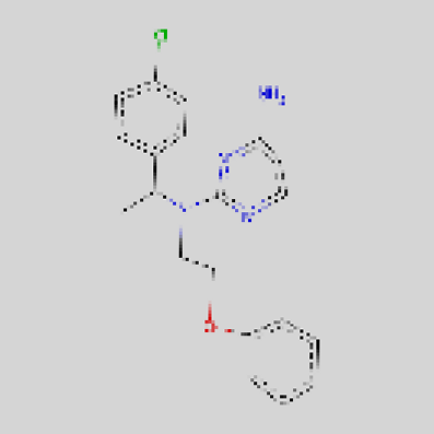 CC(c1ccc(Cl)cc1)N(CCOc1ccccc1)c1nccc(N)n1